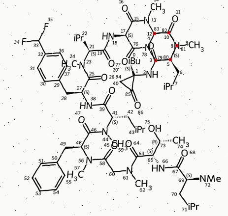 CC[C@H](C)C1(NC(=O)[C@H](CC(C)C)N(C)C(=O)CN(C)C(=O)[C@H](NC(=O)[C@H](C(C)C)N(C)C(=O)[C@H](Cc2ccc(C(F)F)cc2)NC(=O)[C@H](CC(C)C)N(C)C(=O)[C@H](Cc2ccccc2)N(C)C(=O)CN(C)C(=O)[C@@H](NC(=O)[C@H](CC(C)C)NC)[C@@H](C)O)C(=O)N2CCCCC2)CC1=O